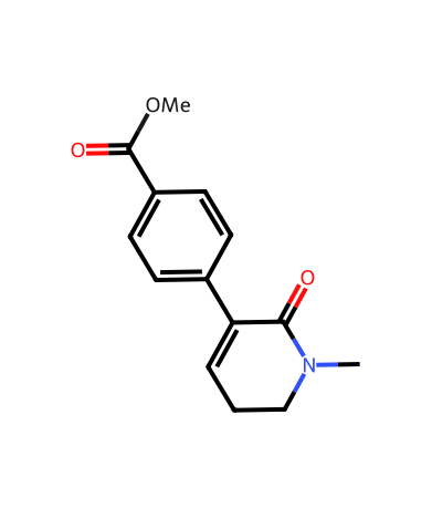 COC(=O)c1ccc(C2=CCCN(C)C2=O)cc1